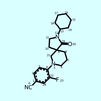 N#Cc1ccc(N2CCCC3(CCN(C4CCCCC4)C3=O)C2)c(F)c1